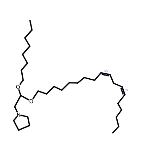 CCCCC/C=C\C/C=C\CCCCCCCCOC(CN1CCCC1)OCCCCCCCC